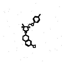 Cc1ccc(OC[C@@H]2CN(C3CCc4ccc(Cl)cc4C3)C[C@H]2C)cc1